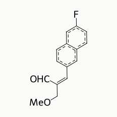 COC/C(C=O)=C/c1ccc2cc(F)ccc2c1